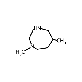 CC1CCN(C)CCNC1